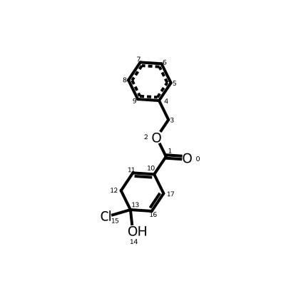 O=C(OCc1ccccc1)C1=CCC(O)(Cl)C=C1